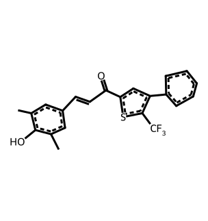 Cc1cc(C=CC(=O)c2cc(-c3ccccc3)c(C(F)(F)F)s2)cc(C)c1O